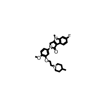 COc1ccc(N2Cc3c(c4ccc(F)cc4n3C)C2=O)cc1OCCN1CCC(C)CC1